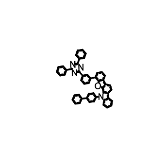 c1ccc(-c2ccc(-n3c4ccccc4c4ccc5c6cccc(-c7cccc(-c8nc(-c9ccccc9)nc(-c9ccccc9)n8)c7)c6oc5c43)cc2)cc1